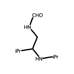 CC(C)NC(CNC=O)C(C)C